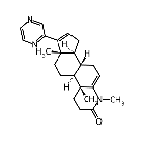 CN1C(=O)CC[C@@]2(C)C1=CC[C@@H]1[C@@H]2CC[C@]2(C)C(c3cnccn3)=CC[C@@H]12